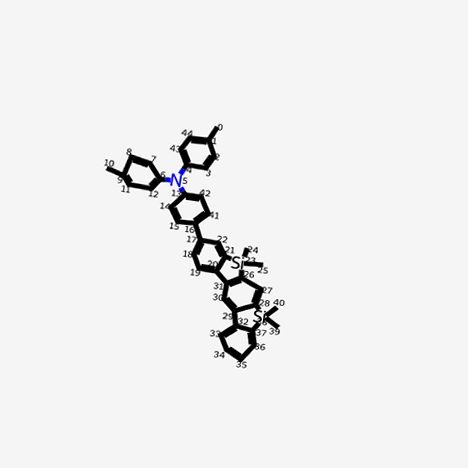 Cc1ccc(N(c2ccc(C)cc2)c2ccc(-c3ccc4c(c3)[Si](C)(C)c3cc5c(cc3-4)-c3ccccc3[Si]5(C)C)cc2)cc1